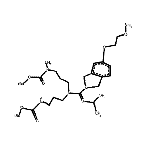 CN(CCCN(CCCNC(=O)OC(C)(C)C)/C(=N/C(O)C(F)(F)F)N1Cc2ccc(OCCON)cc2C1)C(=O)OC(C)(C)C